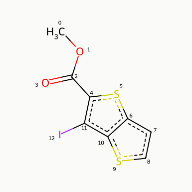 COC(=O)c1sc2ccsc2c1I